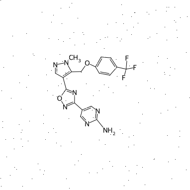 Cn1ncc(-c2nc(-c3cnc(N)nc3)no2)c1COc1ccc(C(F)(F)F)cc1